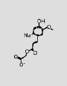 COc1cc(C=CC(=O)OCC(=O)[O-])ccc1O.[Na+]